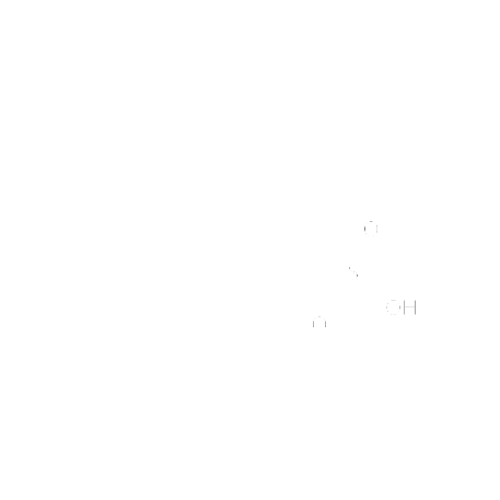 Cc1cc2c(S(=O)(=O)O)cc3cccc4ccc(c1C)c2c43